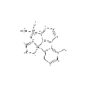 Cc1cccc(C2(c3ccccc3S(N)(=O)=O)C=NOC2)c1